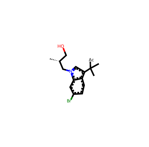 CC(=O)C(C)(C)c1cn(C[C@H](C)CO)c2cc(Br)ccc12